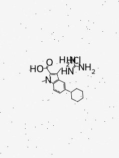 Cc1c(C(=O)O)n(C)c2ccc(C3CCCCC3)cc12.Cl.N=C(N)N